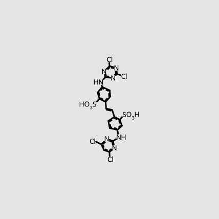 O=S(=O)(O)c1cc(Nc2nc(Cl)cc(Cl)n2)ccc1C=Cc1ccc(Nc2nc(Cl)nc(Cl)n2)cc1S(=O)(=O)O